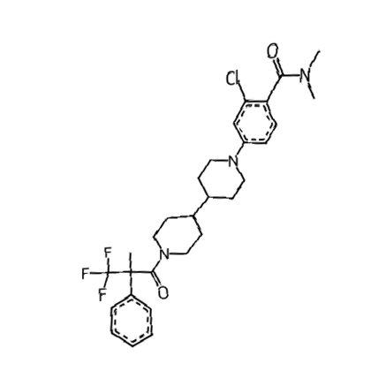 CN(C)C(=O)c1ccc(N2CCC(C3CCN(C(=O)C(C)(c4ccccc4)C(F)(F)F)CC3)CC2)cc1Cl